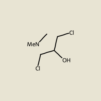 CNC.OC(CCl)CCl